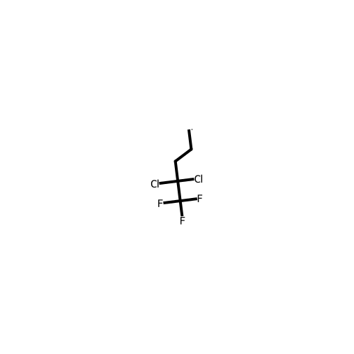 [CH2]CCC(Cl)(Cl)C(F)(F)F